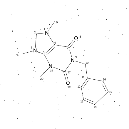 CN1CN(I)c2c1c(=O)n(Cc1ccccc1)c(=O)n2C